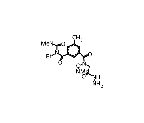 CCN(C(=O)NC)C(=O)c1cc(C)cc(C(=O)N(CC(=O)NN)ONC)c1